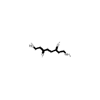 NCCC(=O)CCC(=O)CCO